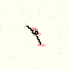 O=C(O)CCCCCC[C@H]1C(=O)C[C@H]2O[C@](O)(CCCCC(F)F)CC[C@@H]21